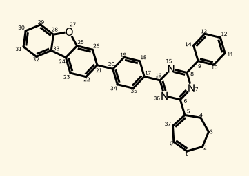 C1=CCCCC(c2nc(-c3ccccc3)nc(-c3ccc(-c4ccc5c(c4)oc4ccccc45)cc3)n2)=C1